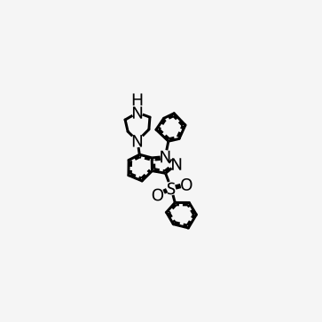 O=S(=O)(c1ccccc1)c1nn(-c2ccccc2)c2c(N3CCNCC3)cccc12